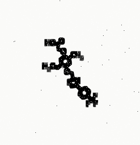 C=Cc1cc(OCC(=O)O)c(C)cc1OCc1nc(-c2ccc(C(F)(F)F)cc2)cs1